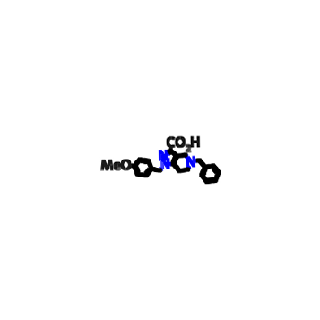 COc1ccc(Cn2nc(C(=O)O)c3c2CCN(Cc2ccccc2)C3)cc1